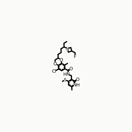 CCC(CCCC1COc2c(Cl)cc(C(=O)NCc3c(SC)cc(C)[nH]c3=O)c(C)c2O1)N1CC(CF)C1